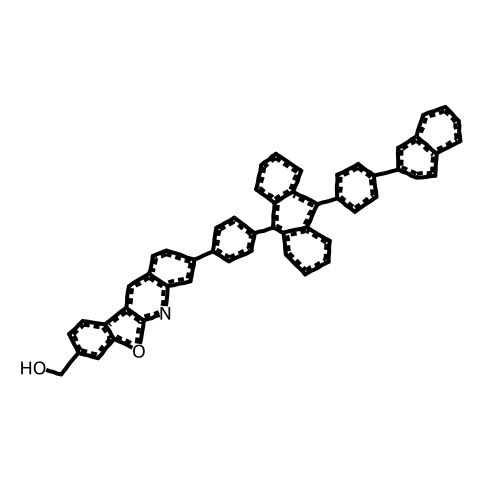 OCc1ccc2c(c1)oc1nc3cc(-c4ccc(-c5c6ccccc6c(-c6ccc(-c7ccc8ccccc8c7)cc6)c6ccccc56)cc4)ccc3cc12